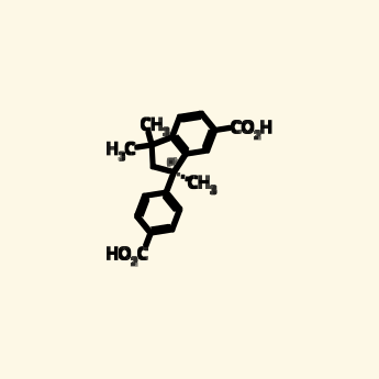 CC1(C)C[C@](C)(c2ccc(C(=O)O)cc2)c2cc(C(=O)O)ccc21